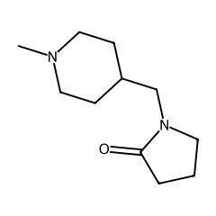 CN1CCC(CN2CCCC2=O)CC1